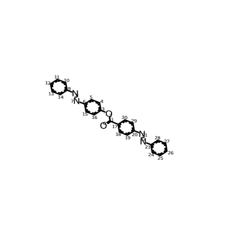 O=C(Oc1ccc(/N=N/c2ccccc2)cc1)c1ccc(/N=N/c2ccccc2)cc1